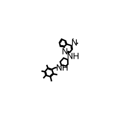 Cc1c(C)c(C)c(CN[C@H]2CC[C@@H](Nc3cc(N(C)C)c4ccccc4n3)CC2)c(C)c1C